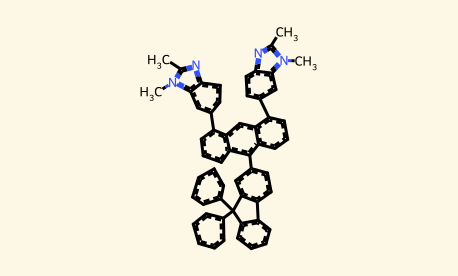 Cc1nc2ccc(-c3cccc4c(-c5ccc6c(c5)C(c5ccccc5)(c5ccccc5)c5ccccc5-6)c5cccc(-c6ccc7nc(C)n(C)c7c6)c5cc34)cc2n1C